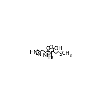 CSCCC(NC(=O)C(N)Cc1c[nH]cn1)C(=O)O